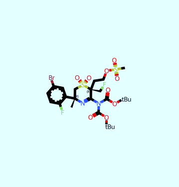 CC(C)(C)OC(=O)N(C(=O)OC(C)(C)C)C1=N[C@](C)(c2cc(Br)ccc2F)CS(=O)(=O)[C@]1(CF)CCOS(C)(=O)=O